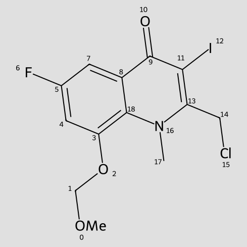 COCOc1cc(F)cc2c(=O)c(I)c(CCl)n(C)c12